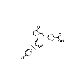 CC(C)(c1ccc(Cl)cc1)C(O)/C=C/[C@H]1CCC(=O)N1CCc1ccc(C(=O)O)cc1